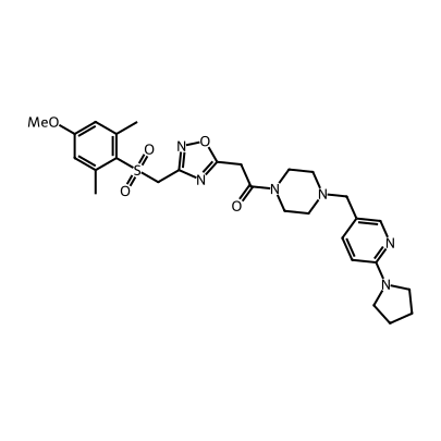 COc1cc(C)c(S(=O)(=O)Cc2noc(CC(=O)N3CCN(Cc4ccc(N5CCCC5)nc4)CC3)n2)c(C)c1